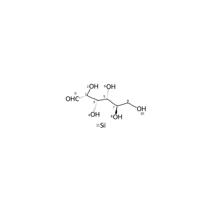 O=C[C@H](O)[C@@H](O)[C@H](O)[C@H](O)CO.[Si]